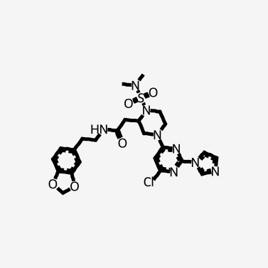 CN(C)S(=O)(=O)N1CCN(c2cc(Cl)nc(-n3ccnc3)n2)CC1CC(=O)NCCc1ccc2c(c1)OCO2